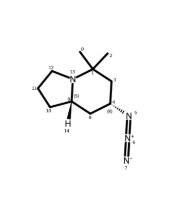 CC1(C)C[C@H](N=[N+]=[N-])C[C@@H]2CCCN21